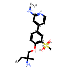 CC(C)CC(C)(N)COc1ccc(-c2ccnc(NC(=O)O)c2)cc1S(C)(=O)=O